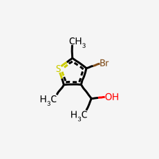 Cc1sc(C)c(C(C)O)c1Br